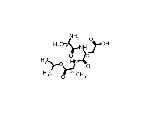 CC(C)OC(=O)[C@@H](C)NC(=O)[C@H](CC(=O)O)NC(=O)[C@@H](C)N